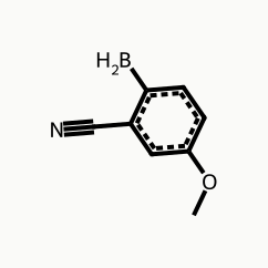 Bc1ccc(OC)cc1C#N